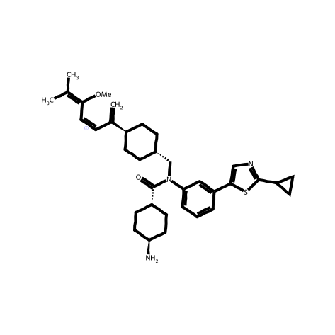 C=C(/C=C\C(OC)=C(C)C)[C@H]1CC[C@H](CN(c2cccc(-c3cnc(C4CC4)s3)c2)C(=O)[C@H]2CC[C@H](N)CC2)CC1